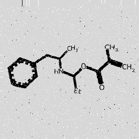 C=C(C)C(=O)OC(CC)NC(C)Cc1ccccc1